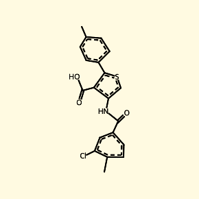 Cc1ccc(-c2scc(NC(=O)c3ccc(C)c(Cl)c3)c2C(=O)O)cc1